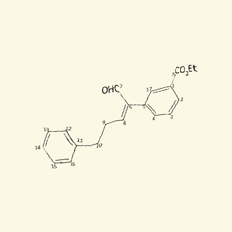 CCOC(=O)c1cccc(C(C=O)=CCCc2ccccc2)c1